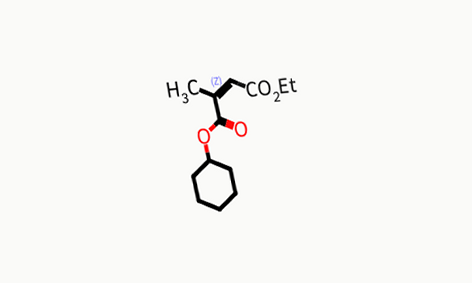 CCOC(=O)/C=C(/C)C(=O)OC1CCCCC1